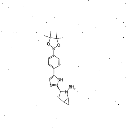 BN1C2CC2C[C@H]1c1ncc(-c2ccc(B3OC(C)(C)C(C)(C)O3)cc2)[nH]1